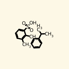 CC(C)c1ccccc1.Cc1cccc(S(=O)(=O)O)c1C